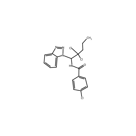 CCCC(Cl)(Cl)C(NC(=O)c1ccc(Cl)cc1)n1nnc2ccccc21